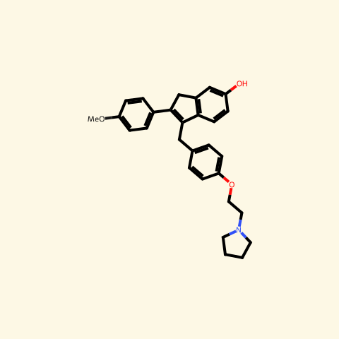 COc1ccc(C2=C(Cc3ccc(OCCN4CCCC4)cc3)c3ccc(O)cc3C2)cc1